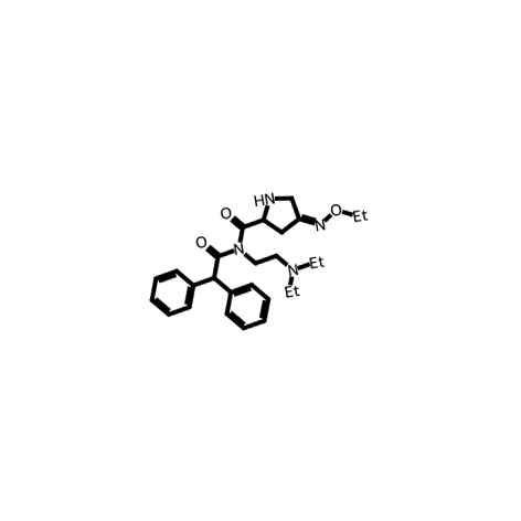 CCON=C1CNC(C(=O)N(CCN(CC)CC)C(=O)C(c2ccccc2)c2ccccc2)C1